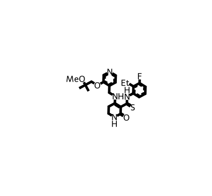 CCc1c(F)cccc1NC(=S)C1=C(NCc2ccncc2OCC(C)(C)OC)CCNC1=O